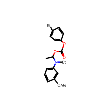 CCc1ccc(OC(=O)OC(C)N(CC)c2cccc(OC)c2)cc1